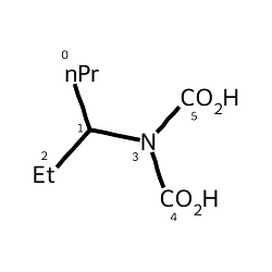 CCCC(CC)N(C(=O)O)C(=O)O